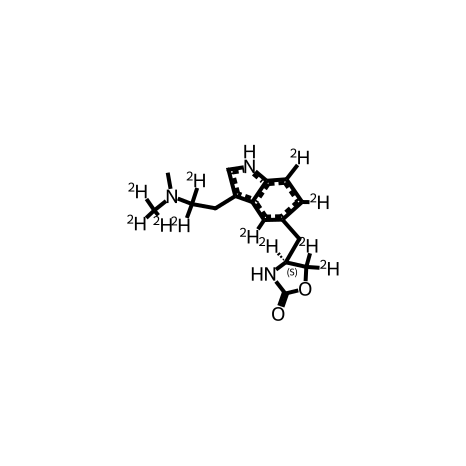 [2H]c1c(C[C@]2([2H])NC(=O)OC2([2H])[2H])c([2H])c2c(CC([2H])([2H])N(C)C([2H])([2H])[2H])c[nH]c2c1[2H]